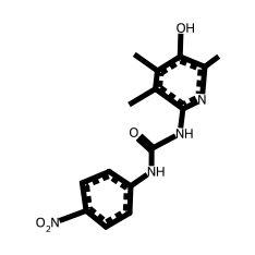 Cc1nc(NC(=O)Nc2ccc([N+](=O)[O-])cc2)c(C)c(C)c1O